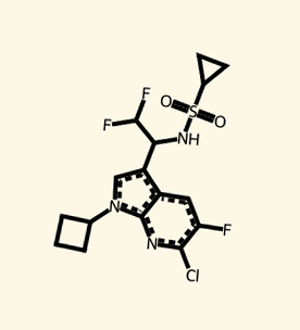 O=S(=O)(NC(c1cn(C2CCC2)c2nc(Cl)c(F)cc12)C(F)F)C1CC1